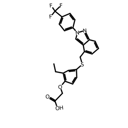 CCc1cc(SCc2cccc3nn(-c4ccc(C(F)(F)F)cc4)cc23)ccc1OCC(=O)O